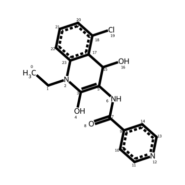 CCN1C(O)=C(NC(=O)c2ccncc2)C(O)c2c(Cl)cccc21